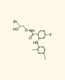 Cc1cc(I)ccc1Nc1cc(F)ccc1C(=O)NOCC(O)C(C)C